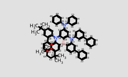 CC(C)(C)c1ccc(N2c3cc4c(cc3B3c5ccc(-c6ccccc6)cc5N(c5cccc(-c6ccccc6)c5)c5cc(N(c6ccccc6)c6ccccc6)cc2c53)C(C)(C)CCC4(C)C)c(-c2ccccc2)c1